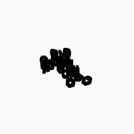 CC1=C(C(=O)OCOC(=O)C(C)(C)C)N2C(=O)C(NC(=O)C(C(=O)OCc3ccccc3)c3ccccc3)[C@@H]2SC1=O